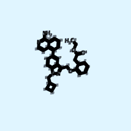 CCOC(=O)Cc1ccccc1OCc1nn(CC2CCC2)c2ccc(-c3cccc4c(N)nccc34)cc12